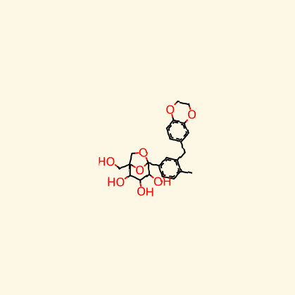 Cc1ccc(C23OCC(CO)(O2)C(O)C(O)C3O)cc1Cc1ccc2c(c1)OCCO2